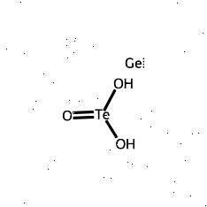 O=[Te](O)O.[Ge]